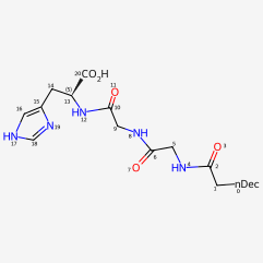 CCCCCCCCCCCC(=O)NCC(=O)NCC(=O)N[C@@H](Cc1c[nH]cn1)C(=O)O